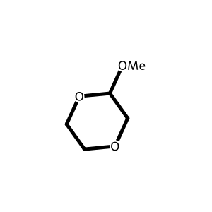 COC1COCCO1